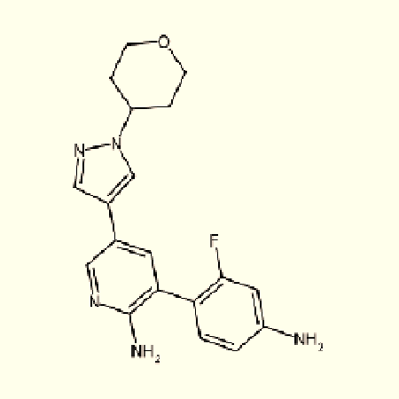 Nc1ccc(-c2cc(-c3cnn(C4CCOCC4)c3)cnc2N)c(F)c1